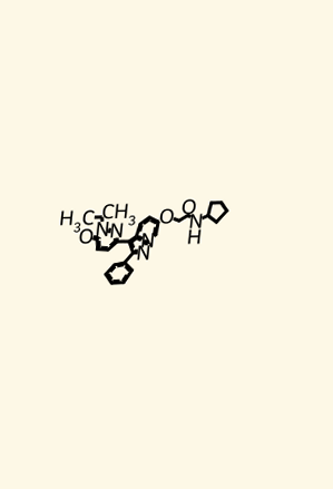 CC(C)n1nc(-c2c(-c3ccccc3)nn3cc(OCC(=O)NC4CCCC4)ccc23)ccc1=O